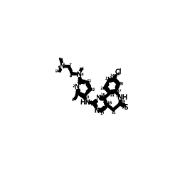 Cc1nc(N(C)CCN(C)C)ccc1Nc1ncc2c(n1)-c1ccc(Cl)cc1NC(=S)C2